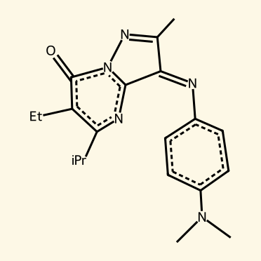 CCc1c(C(C)C)nc2n(c1=O)N=C(C)C2=Nc1ccc(N(C)C)cc1